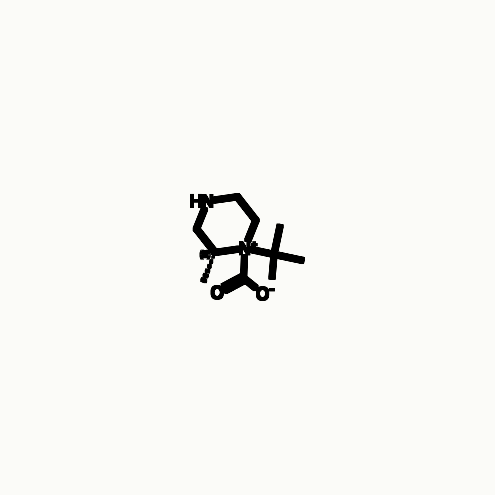 C[C@@H]1CNCC[N+]1(C(=O)[O-])C(C)(C)C